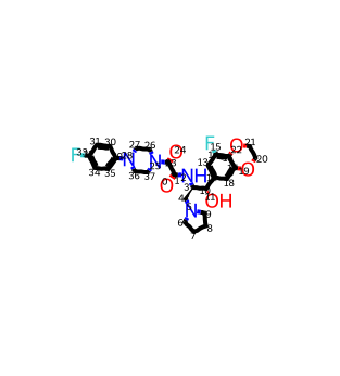 O=C(N[C@H](CN1CCCC1)[C@@H](O)c1cc(F)c2c(c1)OCCO2)C(=O)N1CCN(c2ccc(F)cc2)CC1